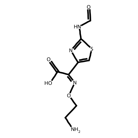 NCCON=C(C(=O)O)c1csc(NC=O)n1